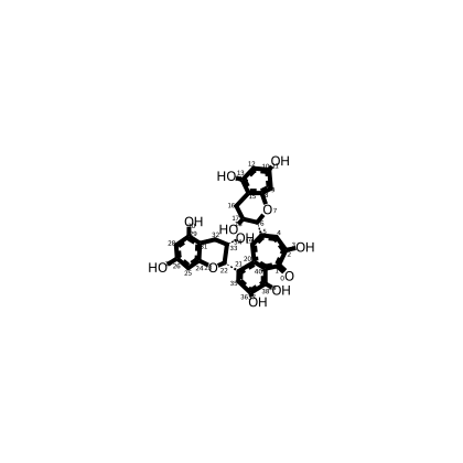 O=c1c(O)cc([C@H]2Oc3cc(O)cc(O)c3CC2O)cc2c([C@@H]3Oc4cc(O)cc(O)c4C[C@@H]3O)cc(O)c(O)c12